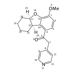 COc1ccc(C(=O)Cc2ccncc2)c2c1O[C@@H]1CCCC[C@H]21